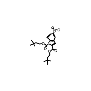 CC(C)(C)CCOC(=O)c1cc2cc([N+](=O)[O-])ccc2n1C(=O)OCCC(C)(C)C